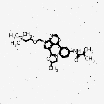 C=C(C)C(=O)Nc1cccc(-c2ncnc3c2c(C2=NCC(C)O2)cn3COCC[Si](C)(C)C)c1